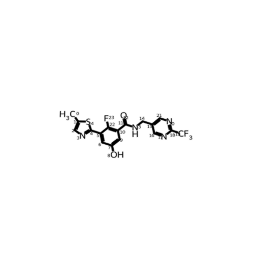 Cc1cnc(-c2cc(O)cc(C(=O)NCc3cnc(C(F)(F)F)nc3)c2F)s1